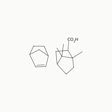 C1=CC2CCC1C2.CC1(C)C2CCC1(C)C(C(=O)O)C2